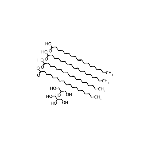 CCCCCCCCC=CCCCCCCCC(=O)O.CCCCCCCCC=CCCCCCCCC(=O)O.CCCCCCCCC=CCCCCCCCC(=O)O.CCCCCCCCC=CCCCCCCCC(=O)O.OCC(O)CO.OCC(O)CO